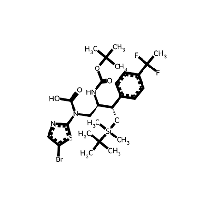 CC(C)(C)OC(=O)N[C@H](CN(C(=O)O)c1ncc(Br)s1)[C@@H](O[Si](C)(C)C(C)(C)C)c1ccc(C(C)(F)F)cc1